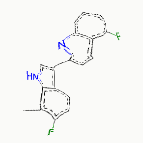 Cc1c(F)ccc2c(-c3ccc4c(F)cccc4n3)c[nH]c12